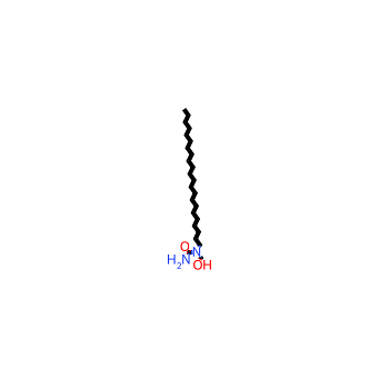 CCCCCCCCCCCCCCCCCCCCCCN(CO)C(N)=O